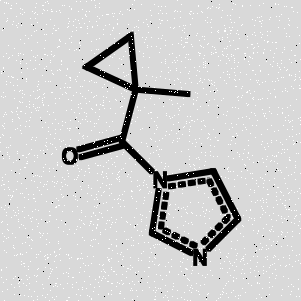 CC1(C(=O)n2ccnc2)CC1